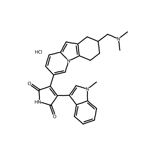 CN(C)CC1CCc2c(cc3ccc(C4=C(c5cn(C)c6ccccc56)C(=O)NC4=O)cn23)C1.Cl